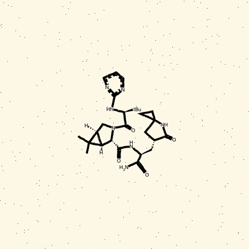 CC(C)(C)[C@H](Nc1ncccn1)C(=O)N1C[C@H]2[C@@H]([C@H]1C(=O)N[C@@H](C[C@@H]1CC3(CC3)NC1=O)C(N)=O)C2(C)C